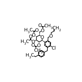 C=CCOCc1cc(Cl)c(Cc2ccc(CC)cc2)cc1[C@@H]1O[C@H](COC(C)=O)[C@@H](OC(C)=O)[C@H](OC(C)=O)[C@H]1OC(C)=O